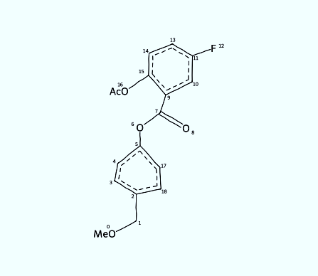 COCc1ccc(OC(=O)c2cc(F)ccc2OC(C)=O)cc1